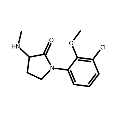 CNC1CCN(c2cccc(Cl)c2OC)C1=O